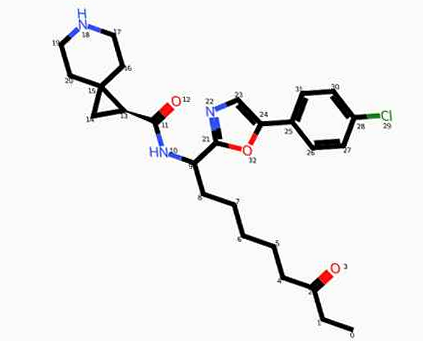 CCC(=O)CCCCCC(NC(=O)[C@H]1CC12CCNCC2)c1ncc(-c2ccc(Cl)cc2)o1